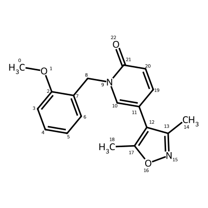 COc1ccccc1Cn1cc(-c2c(C)noc2C)ccc1=O